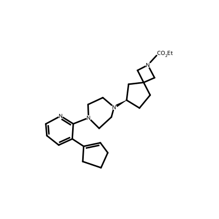 CCOC(=O)N1CC2(CC[C@@H](N3CCN(c4ncccc4C4=CCCC4)CC3)C2)C1